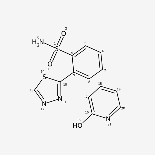 NS(=O)(=O)c1ccccc1-c1nncs1.Oc1ccccn1